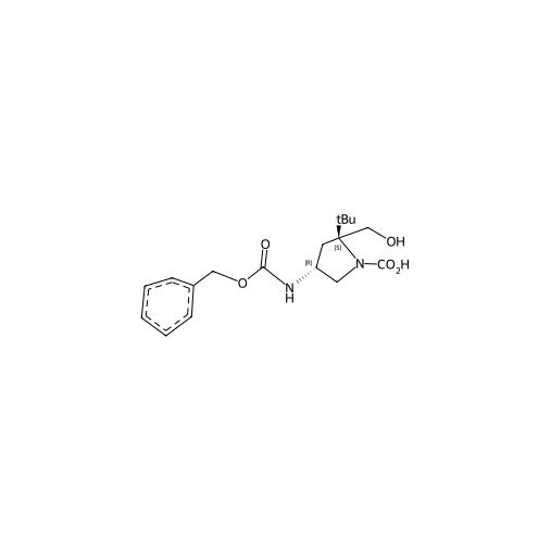 CC(C)(C)[C@]1(CO)C[C@@H](NC(=O)OCc2ccccc2)CN1C(=O)O